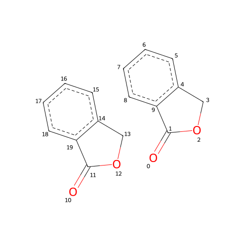 O=C1OCc2ccccc21.O=C1OCc2ccccc21